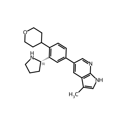 Cc1c[nH]c2ncc(-c3ccc(C4CCOCC4)c([C@@H]4CCCN4)c3)cc12